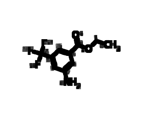 CCOC(=O)c1cc(N)cc(C(F)(F)F)c1